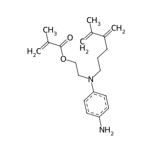 C=C(C)C(=C)CCCN(CCOC(=O)C(=C)C)c1ccc(N)cc1